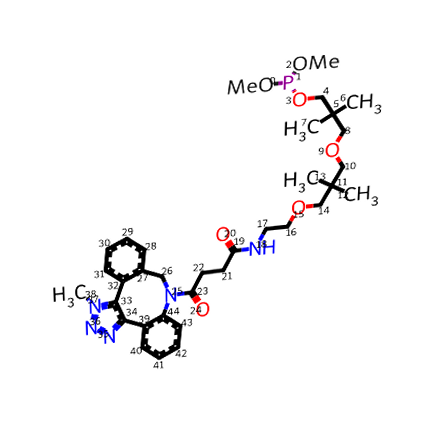 COP(OC)OCC(C)(C)COCC(C)(C)COCCNC(=O)CCC(=O)N1Cc2ccccc2-c2c(nnn2C)-c2ccccc21